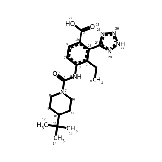 CCc1c(NC(=O)N2CCC(C(C)(C)C)CC2)ccc(C(=O)O)c1-c1nn[nH]n1